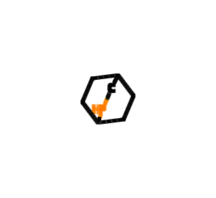 C1CC2CCC1CP2